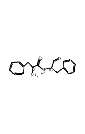 N[C@@H](Cc1ccccc1)C(=O)N[C@@H]([C]=O)Cc1ccccc1